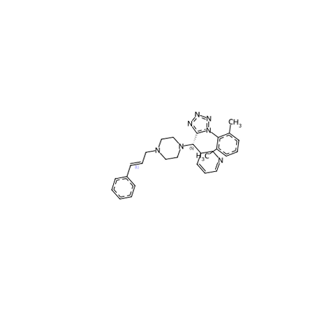 Cc1cccc(C)c1-n1nnnc1[C@H](C1C=CC=NC1)N1CCN(C/C=C/c2ccccc2)CC1